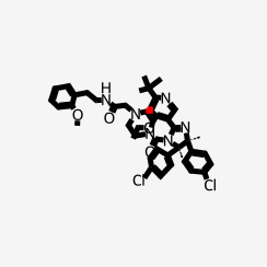 CCOc1cc(C(C)(C)C)ncc1C1=N[C@@](C)(c2ccc(Cl)cc2)[C@@](C)(c2ccc(Cl)cc2)N1C(=O)N1CCN(CC(=O)NCCc2ccccc2OC)CC1